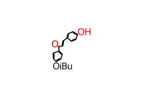 CC(C)COc1ccc(C(=O)/C=C/c2ccc(O)cc2)cc1